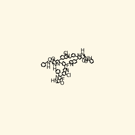 O=C(Nc1c[nH]c2nc(-c3cccc(Cc4cc5cc(-c6cc7c(=O)c(C(=O)NCc8ccccc8)c[nH]c7nc6-c6ccc(F)c(-c7cnc8c(Cl)cc(-c9c(-c%10ccccc%10)nc%10[nH]ccc(=O)c%10c9F)cc8c7)c6)ccc5c(Cl)n4)c3)c(-c3ccc4ncccc4c3)cc2c1=O)c1ccccc1